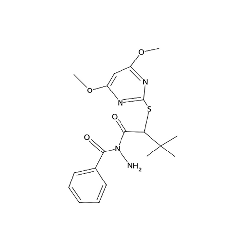 COc1cc(OC)nc(SC(C(=O)N(N)C(=O)c2ccccc2)C(C)(C)C)n1